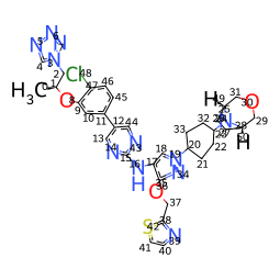 C[C@@H](Cn1cnnn1)Oc1cc(-c2cnc(Nc3cn(C4CCC(N5[C@@H]6CC[C@H]5COC6)CC4)nc3OCc3nccs3)nc2)ccc1Cl